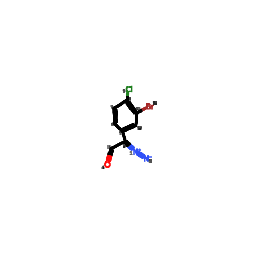 [N-]=[N+]=C(C=O)c1ccc(Cl)c(Br)c1